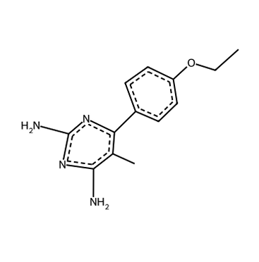 CCOc1ccc(-c2nc(N)nc(N)c2C)cc1